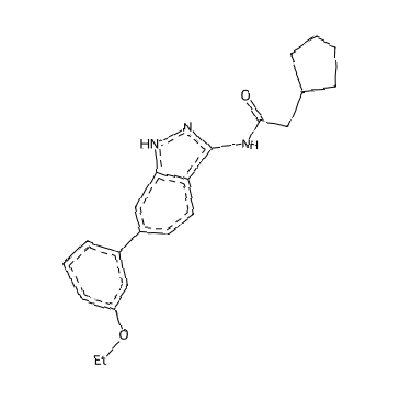 CCOc1cccc(-c2ccc3c(NC(=O)CC4CCCC4)n[nH]c3c2)c1